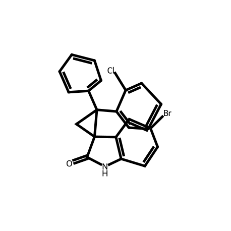 O=C1Nc2ccc(Br)cc2C12CC2(c1ccccc1)c1ccccc1Cl